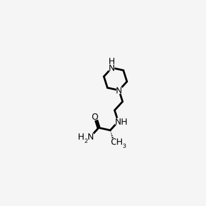 C[C@@H](NCCN1CCNCC1)C(N)=O